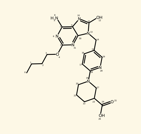 CCCCOc1nc(N)c2nc(O)n(Cc3ccc(N4CCCC(C(=O)O)C4)nc3)c2n1